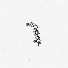 CC(C)(C)[Si](C)(C)OC1CCCN(c2ccc(-c3nc4c(s3)C(=O)NCC4)cn2)C1